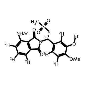 [2H]c1c([2H])c(NC(C)=O)c2c(c1[2H])C(=O)N([C@H](CS(C)(=O)=O)c1c([2H])c([2H])c(OC)c(OCC)c1[2H])C2=O